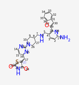 Nc1ccc(CNCC2CCN(c3nccc(/C=C4\SC(=O)NC4=O)n3)CC2)c(-c2cc3ccccc3o2)n1